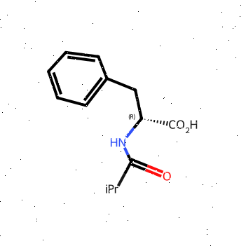 CC(C)C(=O)N[C@H](Cc1ccccc1)C(=O)O